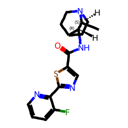 C[C@H]1[C@H](NC(=O)c2cnc(-c3ncccc3F)s2)C2CCN1CC2